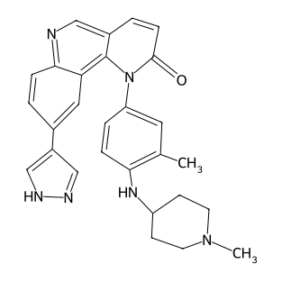 Cc1cc(-n2c(=O)ccc3cnc4ccc(-c5cn[nH]c5)cc4c32)ccc1NC1CCN(C)CC1